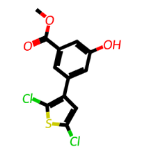 COC(=O)c1cc(O)cc(-c2cc(Cl)sc2Cl)c1